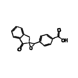 O=C(O)c1ccc(C2OC23Cc2ccccc2C3=O)cc1